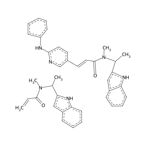 C=CC(=O)N(C)C(C)c1cc2ccccc2[nH]1.CC(c1cc2ccccc2[nH]1)N(C)C(=O)C=Cc1ccc(Nc2ccccc2)nc1